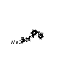 COCC(=O)NCCCOc1cccc(CN2CCCC2)c1